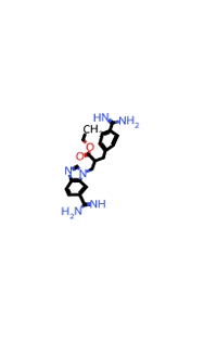 CCOC(=O)C(Cc1ccc(C(=N)N)cc1)Cn1cnc2ccc(C(=N)N)cc21